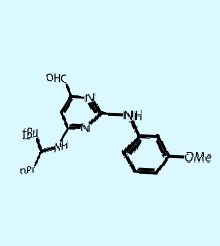 CCCC(Nc1cc(C=O)nc(Nc2cccc(OC)c2)n1)C(C)(C)C